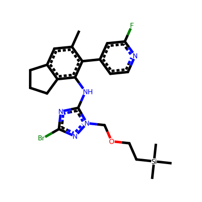 Cc1cc2c(c(Nc3nc(Br)nn3COCC[Si](C)(C)C)c1-c1ccnc(F)c1)CCC2